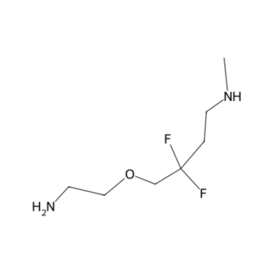 CNCCC(F)(F)COCCN